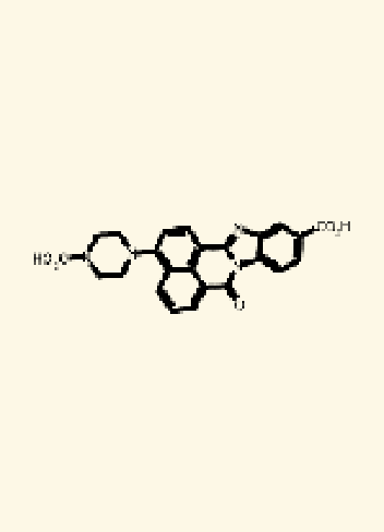 O=C(O)c1ccc2c(c1)nc1c3ccc(N4CCN(C(=O)O)CC4)c4cccc(c(=O)n21)c43